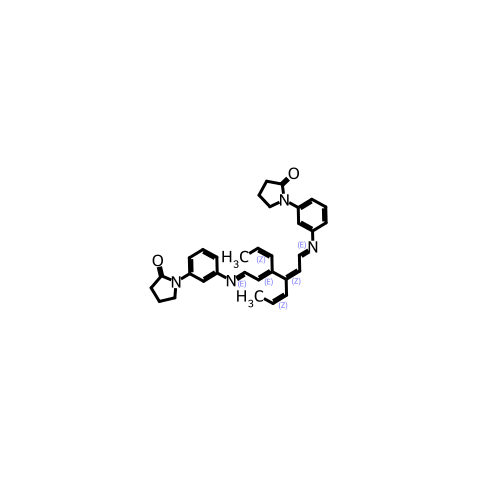 C\C=C/C(=C/C=N/c1cccc(N2CCCC2=O)c1)C(/C=C\C)=C/C=N/c1cccc(N2CCCC2=O)c1